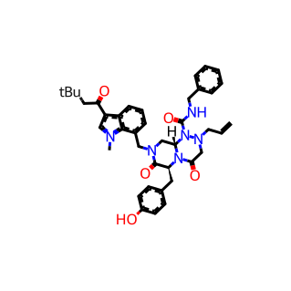 C=CCN1CC(=O)N2[C@@H](Cc3ccc(O)cc3)C(=O)N(Cc3cccc4c(C(=O)CC(C)(C)C)cn(C)c34)C[C@@H]2N1C(=O)NCc1ccccc1